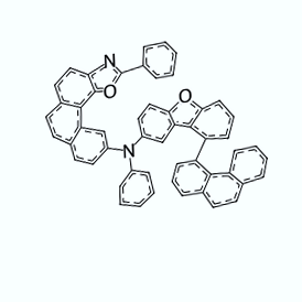 c1ccc(-c2nc3ccc4ccc5ccc(N(c6ccccc6)c6ccc7oc8cccc(-c9cccc%10ccc%11ccccc%11c9%10)c8c7c6)cc5c4c3o2)cc1